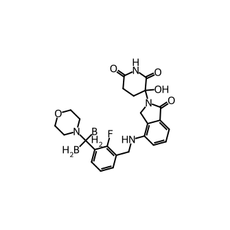 BC(B)(c1cccc(CNc2cccc3c2CN(C2(O)CCC(=O)NC2=O)C3=O)c1F)N1CCOCC1